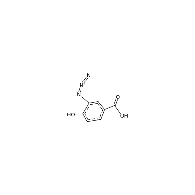 [N-]=[N+]=Nc1cc(C(=O)O)ccc1O